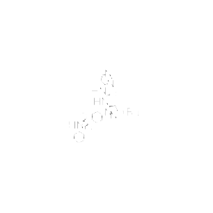 CC(C)(C)c1cc(NC(=O)Nc2ccncn2)n(-c2ccc(S(=O)(=O)Nc3ccccc3)cc2)n1